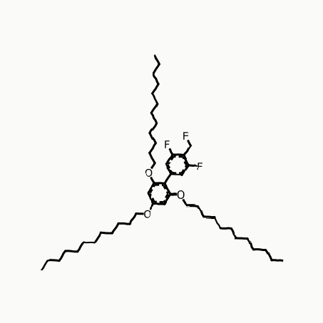 CCCCCCCCCCCCOc1cc(OCCCCCCCCCCCC)c(-c2cc(F)c(CF)c(F)c2)c(OCCCCCCCCCCCC)c1